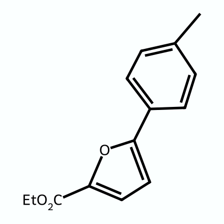 CCOC(=O)c1ccc(-c2ccc(C)cc2)o1